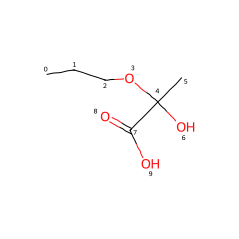 CCCOC(C)(O)C(=O)O